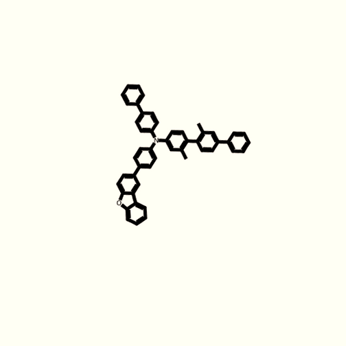 Cc1cc(-c2ccccc2)ccc1-c1ccc(N(c2ccc(-c3ccccc3)cc2)c2ccc(-c3ccc4oc5ccccc5c4c3)cc2)cc1C